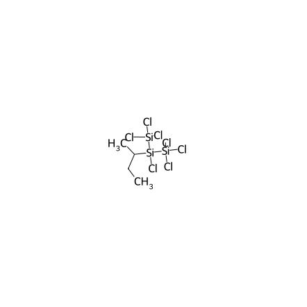 CCC(C)[Si](Cl)([Si](Cl)(Cl)Cl)[Si](Cl)(Cl)Cl